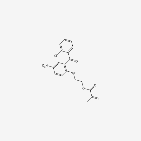 C=C(C)C(=O)OCCNc1ccc([N+](=O)[O-])cc1C(=O)c1ccccc1Cl